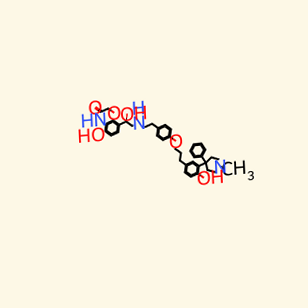 CN1CCC(c2ccccc2)(c2cc(CCCOc3ccc(CCNC[C@H](O)c4ccc(O)c5c4OCC(=O)N5)cc3)ccc2O)CC1